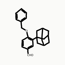 O=Cc1ccc(OCc2ccccc2)c(C23CC4CC(CC(C4)C2)C3)c1